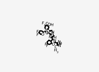 Cc1nonc1C(=O)N[C@H](c1cn2ncc([C@H]3C[C@](O)(C(F)(F)F)CCN3C(=O)[C@@H]3CCC(F)(F)CO3)nc2n1)C1CCC(F)(F)CC1